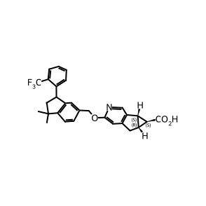 CC1(C)CC(c2ccccc2C(F)(F)F)c2cc(COc3cc4c(cn3)[C@H]3[C@@H](C4)[C@@H]3C(=O)O)ccc21